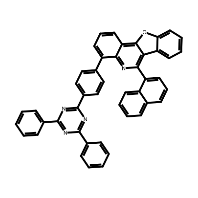 c1ccc(-c2nc(-c3ccccc3)nc(-c3ccc(-c4cccc5c4nc(-c4cccc6ccccc46)c4c6ccccc6oc54)cc3)n2)cc1